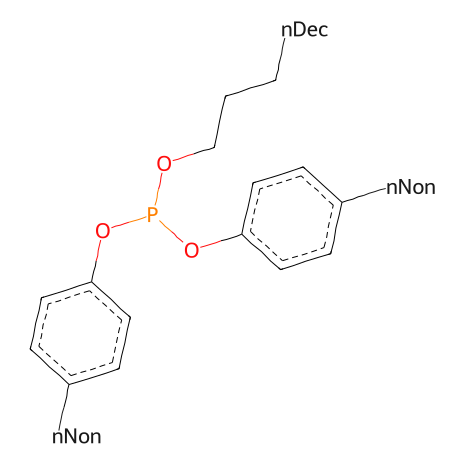 CCCCCCCCCCCCCOP(Oc1ccc(CCCCCCCCC)cc1)Oc1ccc(CCCCCCCCC)cc1